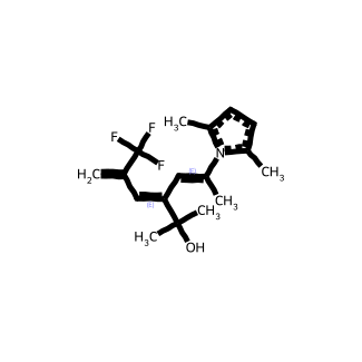 C=C(/C=C(\C=C(/C)n1c(C)ccc1C)C(C)(C)O)C(F)(F)F